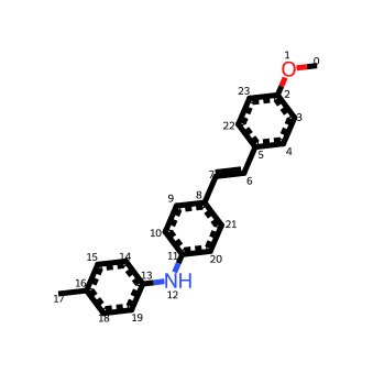 COc1ccc(C=Cc2ccc(Nc3ccc(C)cc3)cc2)cc1